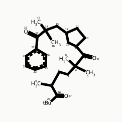 CC(CCC(C)(C)C(=O)C1CCC(CC(C)(C)C(=O)c2ccccc2)C1)C(=O)C(C)(C)C